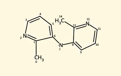 Cc1ncccc1[N]c1cccnc1C